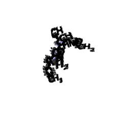 C#CC/C=C(\C=C(/C)CNC(=O)C=C)C/C=C\C(C(N)=O)=C1/CC=C(C2=CCN(C)CC2)N1